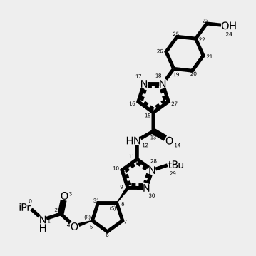 CC(C)NC(=O)O[C@@H]1CC[C@H](c2cc(NC(=O)c3cnn(C4CCC(CO)CC4)c3)n(C(C)(C)C)n2)C1